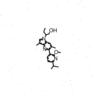 CCC(CO)n1cc(C)c2nc(-c3ccc(C(C)C)nc3OC)c(C)cc21